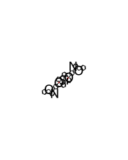 c1ccc([Si](c2ccccc2)(c2cccc3c2oc2ccc(-c4nccc5c4oc4ccccc45)cc23)c2cccc3c2oc2ccc(-c4nccc5c4oc4ccccc45)cc23)cc1